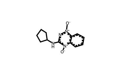 [O-][n+]1nc(NC2CCCC2)[n+]([O-])c2ccccc21